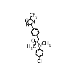 CN(c1ccc(Cl)cc1)P(C)(=O)Cc1ccc(-c2noc(C(F)(F)F)n2)cc1